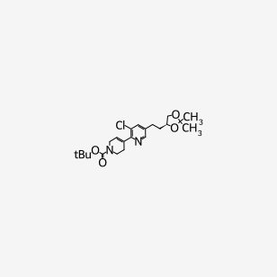 CC(C)(C)OC(=O)N1CC=C(c2ncc(CC[C@H]3COC(C)(C)O3)cc2Cl)CC1